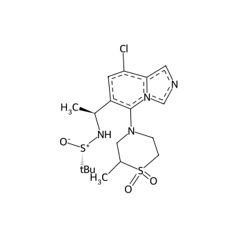 CC1CN(c2c([C@H](C)N[S@@+]([O-])C(C)(C)C)cc(Cl)c3cncn23)CCS1(=O)=O